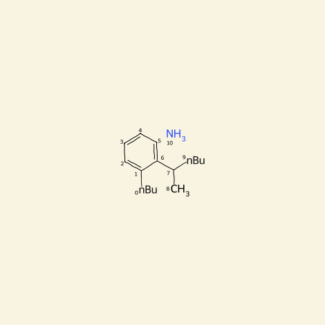 CCCCc1ccccc1C(C)CCCC.N